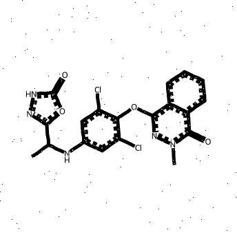 CC(Nc1cc(Cl)c(Oc2nn(C)c(=O)c3ccccc23)c(Cl)c1)c1n[nH]c(=O)o1